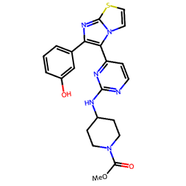 COC(=O)N1CCC(Nc2nccc(-c3c(-c4cccc(O)c4)nc4sccn34)n2)CC1